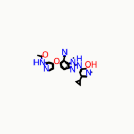 CC(=O)Nc1cc(Oc2ccc3nc(NC4=CC(C5CC5)=CN(C)C4O)n(C)c3c2C#N)ccn1